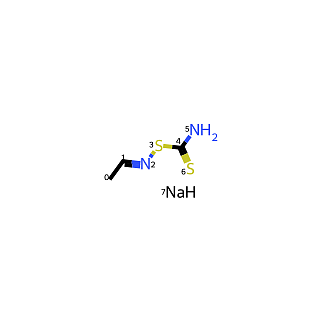 CC=NSC(N)=S.[NaH]